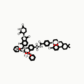 CC1(C)CCC(c2ccc(Cl)cc2)=C(CN2CCN(c3ccc(C(=O)NS(=O)(=O)c4ccc(N[C@H](CCN5C6CC5CN(Cc5ccc7c(c5F)CN(C5CCC(=O)NC5=O)C7=O)C6)CSc5ccccc5)c(S(=O)(=O)C(F)(F)F)c4)cc3)CC2)C1